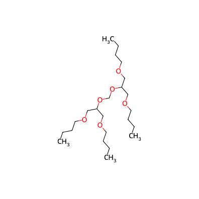 CCCCOCC(COCCCC)OCOC(COCCCC)COCCCC